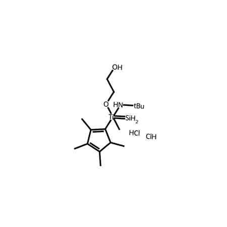 CC1=C(C)C(C)[C]([Ti]([CH3])(=[SiH2])([NH]C(C)(C)C)[O]CCO)=C1C.Cl.Cl